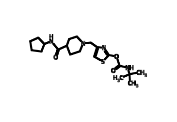 CC(C)(C)NC(=O)Oc1nc(CN2CCC(C(=O)NC3CCCC3)CC2)cs1